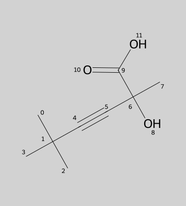 CC(C)(C)C#CC(C)(O)C(=O)O